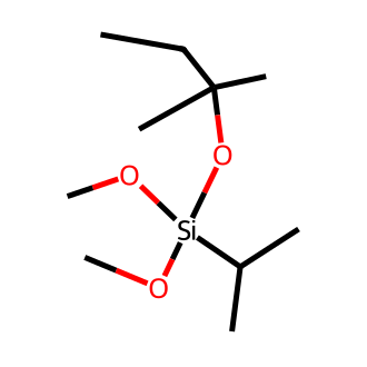 CCC(C)(C)O[Si](OC)(OC)C(C)C